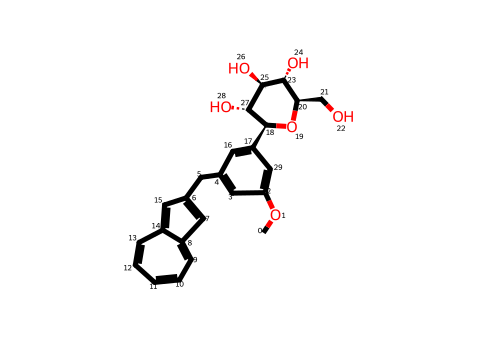 COc1cc(Cc2cc3cccccc-3c2)cc([C@@H]2O[C@H](CO)[C@@H](O)[C@H](O)[C@H]2O)c1